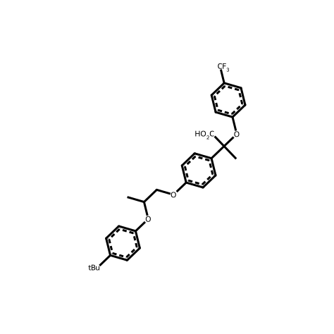 CC(COc1ccc(C(C)(Oc2ccc(C(F)(F)F)cc2)C(=O)O)cc1)Oc1ccc(C(C)(C)C)cc1